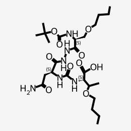 CCCCOC[C@H](NC(=O)OC(C)(C)C)C(=O)NNC(=O)[C@H](CC(N)=O)NC(=O)N[C@H](C(=O)O)C(C)OCCCC